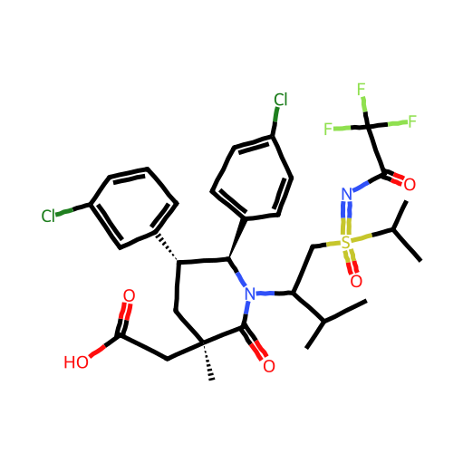 CC(C)C(CS(=O)(=NC(=O)C(F)(F)F)C(C)C)N1C(=O)[C@@](C)(CC(=O)O)C[C@H](c2cccc(Cl)c2)[C@H]1c1ccc(Cl)cc1